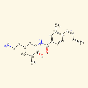 C=C/C=C\c1ccc(C(=O)NC(CCCCN)C(=O)C(C)C)cc1C